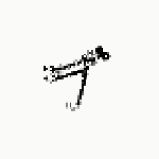 CCCCCCCCCCCCOCC(CSC[C@H](NC(=O)OCC1c2ccccc2-c2ccccc21)C(=O)NCCOCCOCCOCCP(=O)(O)O)OCCCCCCCCCCCC